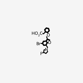 O=C(O)Cc1ccccc1OCc1coc2c(CN3CCC(F)C3)cc(Br)cc12